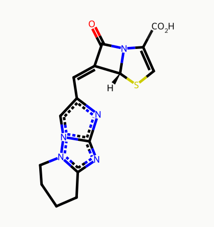 O=C(O)C1=CS[C@@H]2/C(=C\c3cn4c(n3)nc3n4CCCC3)C(=O)N12